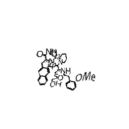 COc1ccccc1CC(=O)N[C@@H](CSCO)C(=O)N1CCCC[C@H]1C(=O)N[C@@H](Cc1ccc2ccccc2c1)C(N)=O